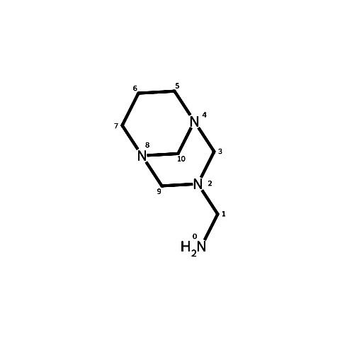 NCN1CN2CCCN(C1)C2